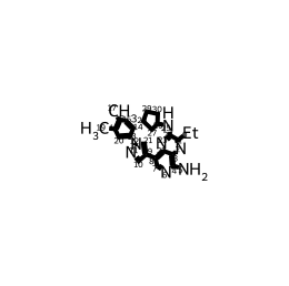 CCc1nc2c(N)ncc(-c3cnn(-c4ccc(C)c(C)c4)c3)c2nc1NC1CCCC1